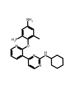 Cc1cc(N)cc(P)c1Oc1ncccc1-c1ccnc(NC2CCCCC2)n1